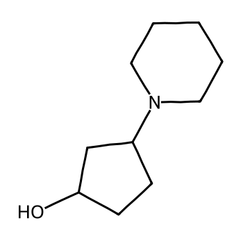 OC1CCC(N2CCCCC2)C1